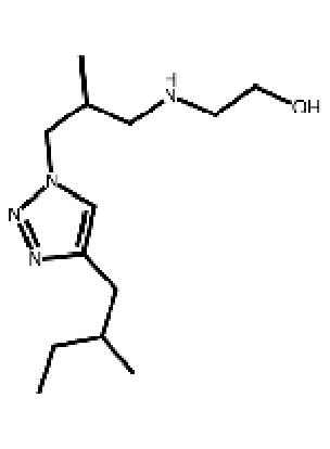 CCC(C)Cc1cn(CC(C)CNCCO)nn1